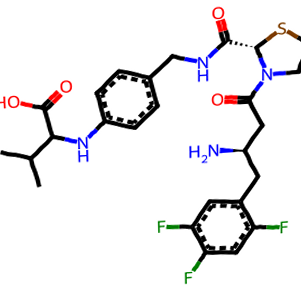 CC(C)C(Nc1ccc(CNC(=O)[C@@H]2SCCN2C(=O)C[C@H](N)Cc2cc(F)c(F)cc2F)cc1)C(=O)O